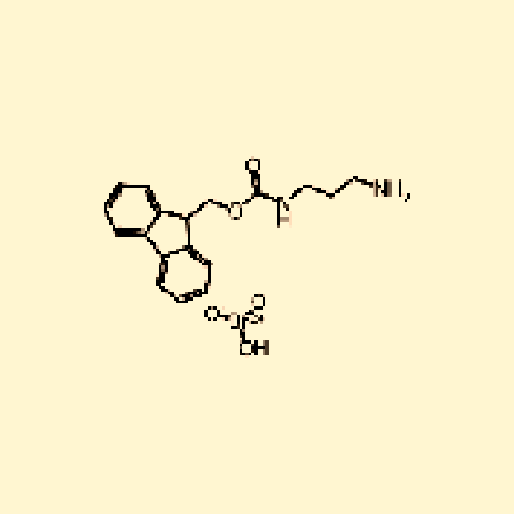 NCCCNC(=O)OCC1c2ccccc2-c2ccccc21.[O-][Br+2]([O-])O